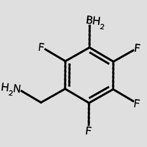 Bc1c(F)c(F)c(F)c(CN)c1F